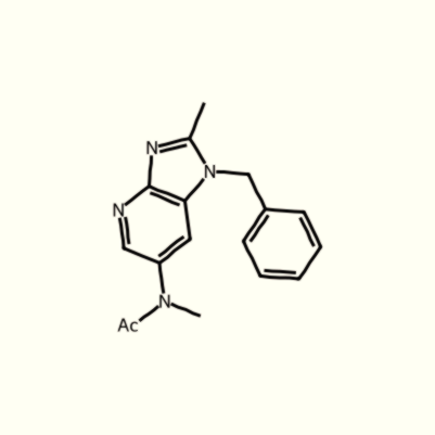 CC(=O)N(C)c1cnc2nc(C)n(Cc3ccccc3)c2c1